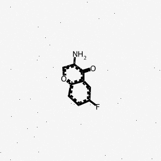 Nc1coc2ccc(F)cc2c1=O